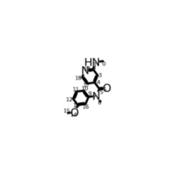 CNc1cc(C(=O)N(C)c2cccc(OC)c2)ccn1